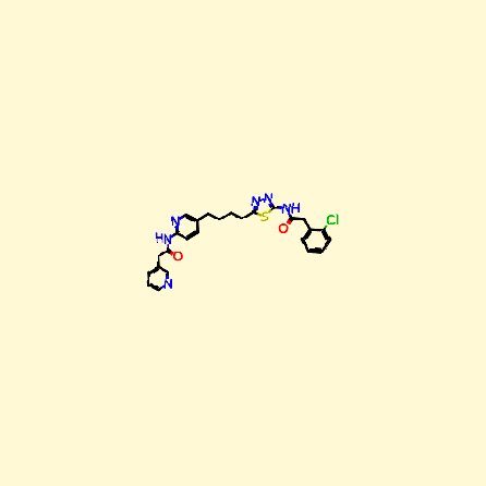 O=C(Cc1cccnc1)Nc1ccc(CCCCc2nnc(NC(=O)Cc3ccccc3Cl)s2)cn1